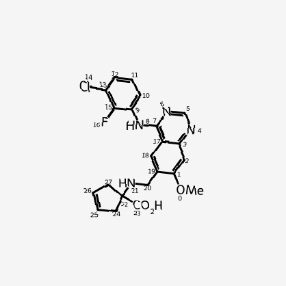 COc1cc2ncnc(Nc3cccc(Cl)c3F)c2cc1CNC1(C(=O)O)CC=CC1